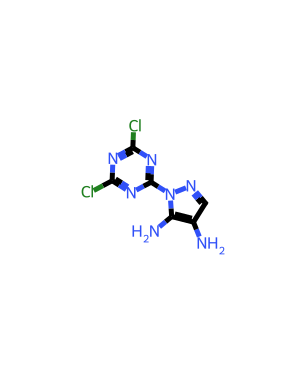 Nc1cnn(-c2nc(Cl)nc(Cl)n2)c1N